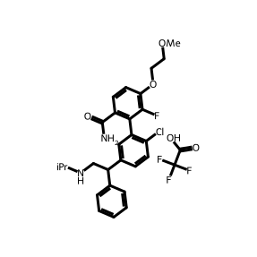 COCCOc1ccc(C(N)=O)c(-c2cc(C(CNC(C)C)c3ccccc3)ccc2Cl)c1F.O=C(O)C(F)(F)F